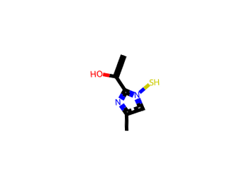 C=C(O)c1nc(C)cn1S